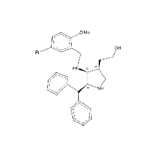 COc1ccc(C(C)C)cc1CN[C@H]1[C@@H](CCO)CN[C@H]1C(c1ccccc1)c1ccccc1